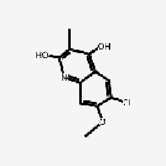 COc1cc2nc(O)c(C)c(O)c2cc1Cl